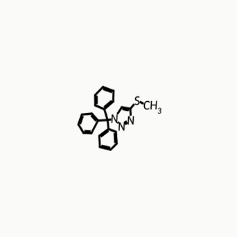 CSc1cn(C(c2ccccc2)(c2ccccc2)c2ccccc2)nn1